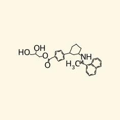 C[C@@H](NC1CCCC(c2ccc(C(=O)OCC(O)CO)cc2)C1)c1cccc2ccccc12